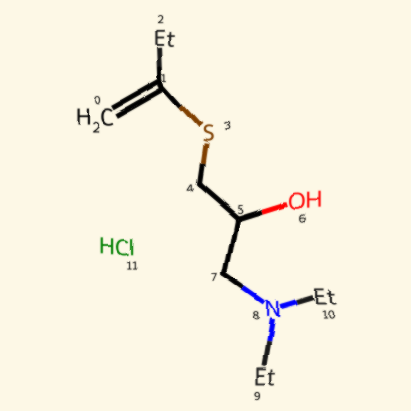 C=C(CC)SCC(O)CN(CC)CC.Cl